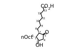 CCCCCCCC[C@H]1[C@H](O)CC(=O)[C@@H]1CCCCCCC(=O)O